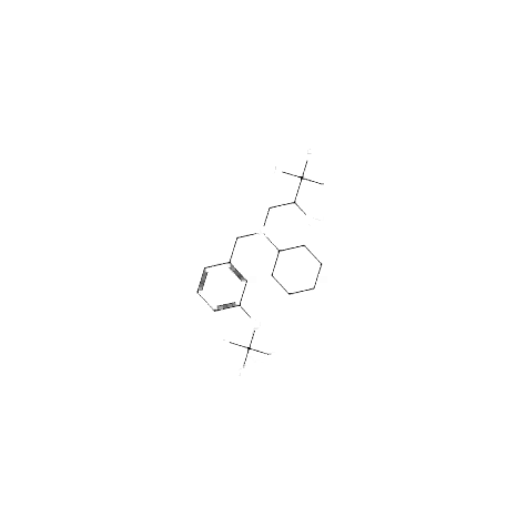 OC(CN(Cc1cccc(OC(F)(F)F)c1)C1CCCCC1)C(F)(F)F